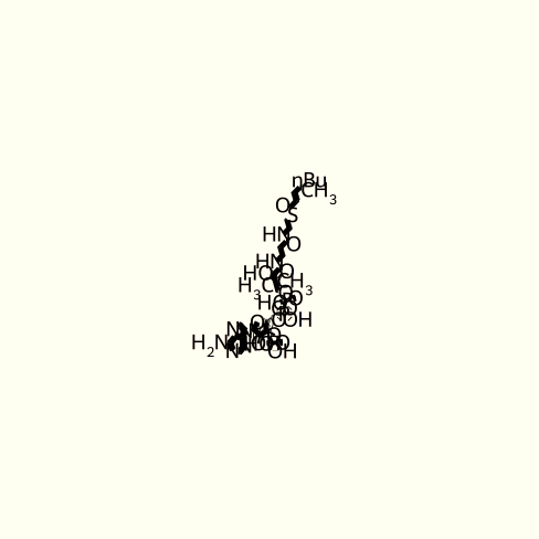 CCCCC(C)C=CC(=O)SCCNC(=O)CCNC(=O)[C@H](O)C(C)(C)COP(=O)(O)OP(=O)(O)OC[C@H]1O[C@@H](n2cnc3c(N)ncnc32)[C@H](O)[C@@H]1OP(=O)(O)O